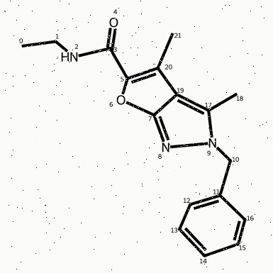 CCNC(=O)c1oc2nn(Cc3ccccc3)c(C)c2c1C